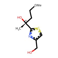 COCC[C@@](C)(O)c1nc(CO)cs1